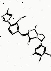 COc1cc(/C=C2\O[C@@H](C)C3CCC(c4cc(F)c(F)c(F)c4)N3C2=O)ccc1-n1cnc(C)c1